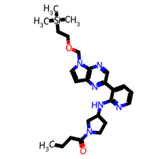 CCCC(=O)N1CCC(Nc2ncccc2-c2cnc3c(ccn3COCC[Si](C)(C)C)n2)C1